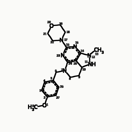 COc1ccc(CN2CCC3NN(C)c4nc(N5CCOCC5)nc2c43)cc1